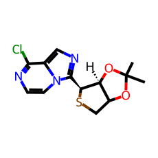 CC1(C)OC2CS[C@@H](c3ncc4c(Cl)nccn34)[C@H]2O1